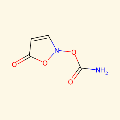 NC(=O)On1ccc(=O)o1